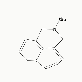 CC(C)(C)N1Cc2cccc3cccc(c23)C1